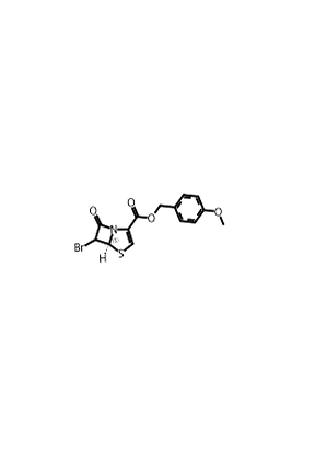 COc1ccc(COC(=O)C2=CS[C@H]3C(Br)C(=O)N23)cc1